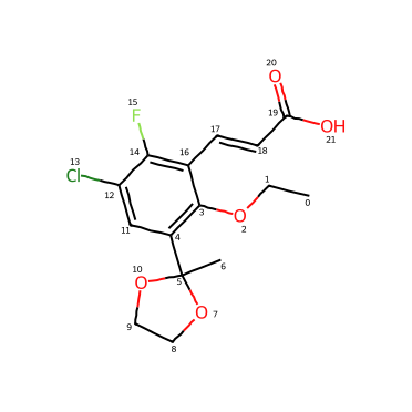 CCOc1c(C2(C)OCCO2)cc(Cl)c(F)c1C=CC(=O)O